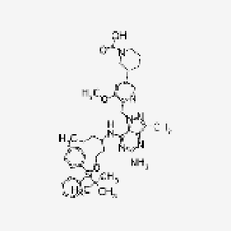 CCCC(CCO[Si](c1ccccc1)(c1ccccc1)C(C)(C)C)Nc1nc(N)nc2c(C)nn(Cc3ncc(C4CCCN(C(=O)O)C4)cc3OC)c12